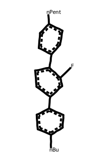 CCCCCc1ccc(-c2ccc(-c3ccc(CCCC)cc3)cc2F)cc1